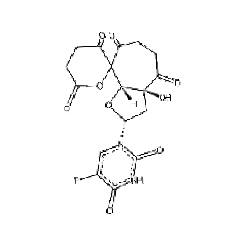 O=C1CCC(=O)C2(O1)C(=O)CCC(=O)[C@]1(O)C[C@H](n3cc(F)c(=O)[nH]c3=O)O[C@H]21